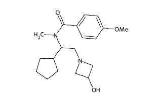 COc1ccc(C(=O)N(C)C(CN2CC(O)C2)C2CCCC2)cc1